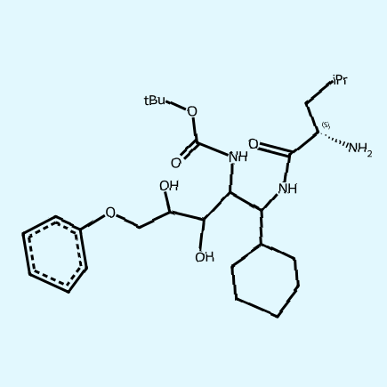 CC(C)C[C@H](N)C(=O)NC(C1CCCCC1)C(NC(=O)OC(C)(C)C)C(O)C(O)COc1ccccc1